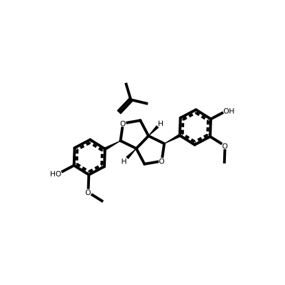 C=C(C)C.COc1cc([C@H]2OC[C@H]3[C@@H]2CO[C@@H]3c2ccc(O)c(OC)c2)ccc1O